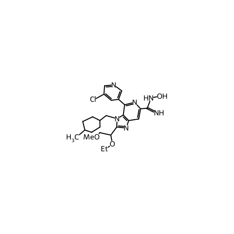 CCOC(COC)c1nc2cc(C(=N)NO)nc(-c3cncc(Cl)c3)c2n1CC1CCC(C)CC1